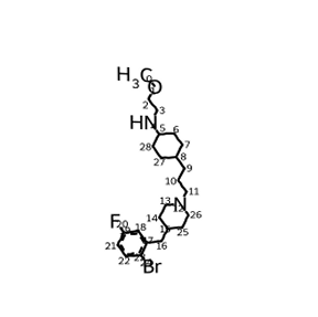 COCCNC1CCC(CCCN2CCC(Cc3cc(F)ccc3Br)CC2)CC1